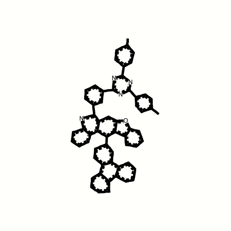 Cc1ccc(-c2nc(-c3ccc(C)cc3)nc(-c3cccc(-c4nc5ccccc5c5c(-c6ccc7c8ccccc8c8ccccc8c7c6)c6c(cc45)oc4ccccc46)c3)n2)cc1